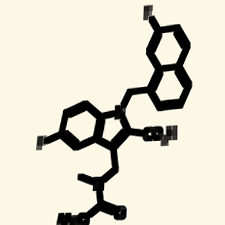 COC(=O)N(C)Cc1c(C(=O)O)n(Cc2cccc3ccc(F)cc23)c2ccc(F)cc12